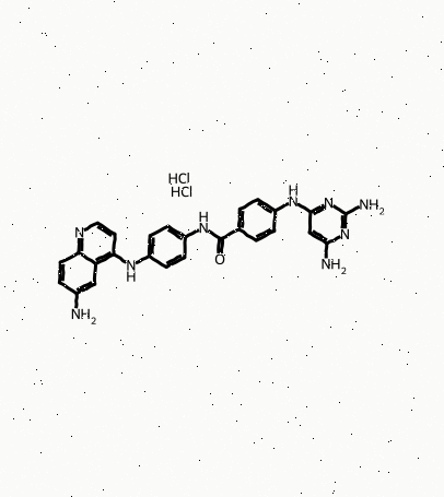 Cl.Cl.Nc1ccc2nccc(Nc3ccc(NC(=O)c4ccc(Nc5cc(N)nc(N)n5)cc4)cc3)c2c1